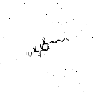 CCCCCCn1ccc(NC(N)=O)nc1=O